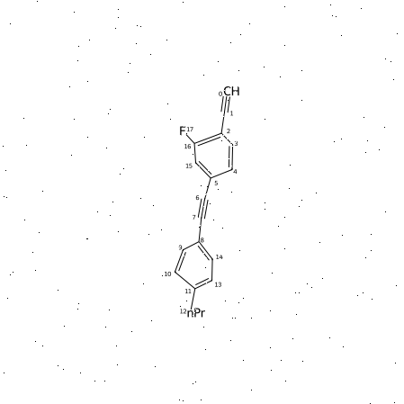 C#Cc1ccc(C#Cc2ccc(CCC)cc2)cc1F